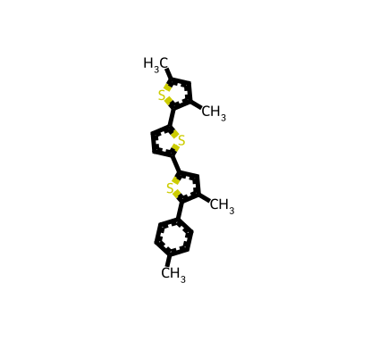 Cc1ccc(-c2sc(-c3ccc(-c4sc(C)cc4C)s3)cc2C)cc1